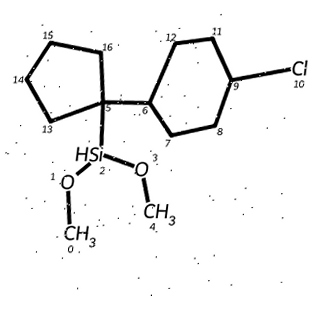 CO[SiH](OC)C1(C2CCC(Cl)CC2)CCCC1